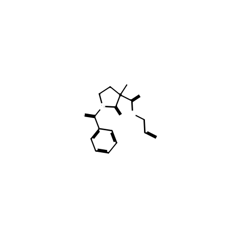 C=CCOC(=O)C1(C)CCN(C(=O)c2ccccc2)C1=O